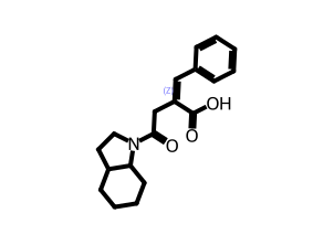 O=C(O)/C(=C\c1ccccc1)CC(=O)N1CCC2CCCCC21